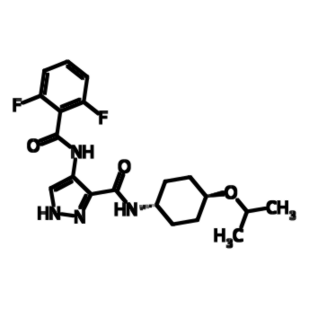 CC(C)O[C@H]1CC[C@H](NC(=O)c2n[nH]cc2NC(=O)c2c(F)cccc2F)CC1